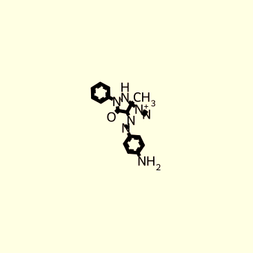 CC1([N+]#N)NN(c2ccccc2)C(=O)C1N=Nc1ccc(N)cc1